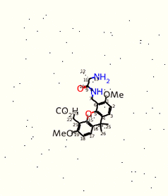 COc1ccc2c(c1CNC(=O)[C@H](C)N)Oc1c(ccc(OC)c1CC(=O)O)C2(C)C